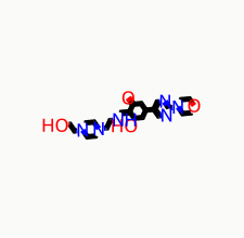 O=C1CC(c2cnc(N3CCOCC3)nc2)CC(O)/C1=C\NCCN1CCN(CCO)CC1